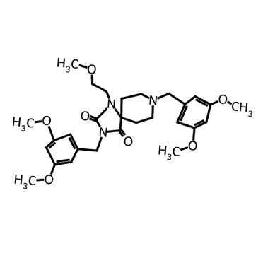 COCCN1C(=O)N(Cc2cc(OC)cc(OC)c2)C(=O)C12CCN(Cc1cc(OC)cc(OC)c1)CC2